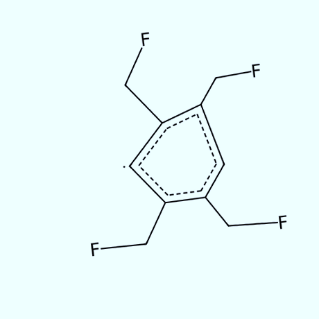 FCc1[c]c(CF)c(CF)cc1CF